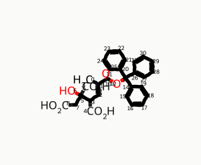 CC(=CC(C(=O)O)C(O)(CC(=O)O)C(=O)O)C(=O)OC(c1ccccc1)(c1ccccc1)c1ccccc1